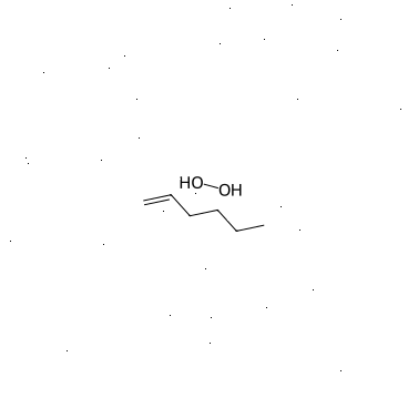 C=CCCCC.OO